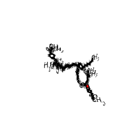 C=CC(=O)OCC1CC2C3CC(C2C1)C(C1(C)CCCCC(CC)(CCC)CCCC2C(CCCCCCCC)CCC(CCCCCCCCC(=O)C(CC)(CCCC)OCC4CC5CCC(COC(=O)C(=C)C)CCC4C5)C2CCCCCCCCC(=O)O1)C3